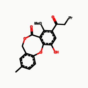 COc1c(C(=O)CC(C)C)cc(O)c2c1C(=O)OCc1cc(C)ccc1O2